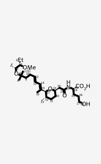 CC[C@H](OC)[C@@H](C)OC(C)(C)C[C@H](C)/C=C/C=C(\C)[C@H]1O[C@@H](CC(=O)N[C@@H](CCCO)C(=O)O)CC[C@@H]1C